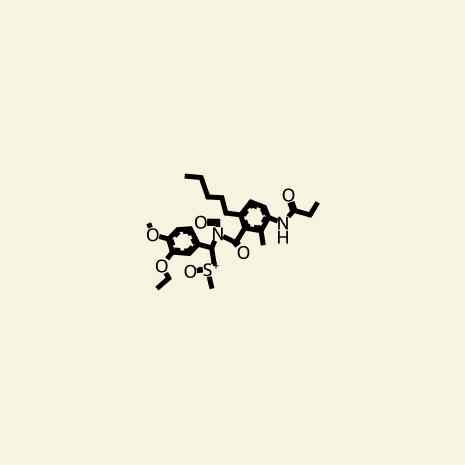 CCCCCc1ccc(NC(=O)CC)c(C)c1C(=O)N(C=O)C(C[S+](C)[O-])c1ccc(OC)c(OCC)c1